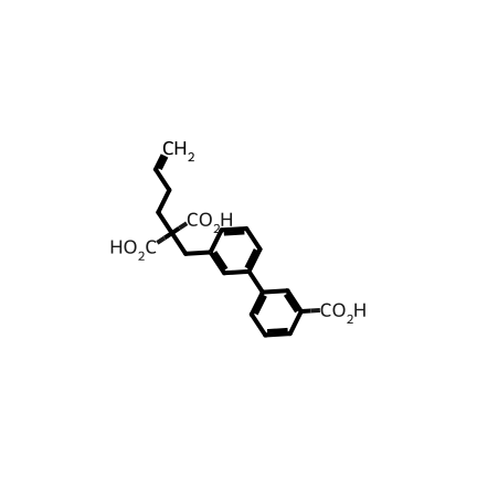 C=CCCC(Cc1cccc(-c2cccc(C(=O)O)c2)c1)(C(=O)O)C(=O)O